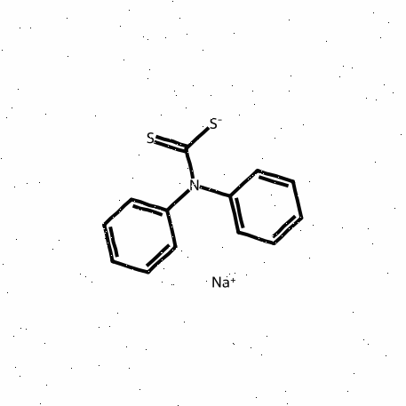 S=C([S-])N(c1ccccc1)c1ccccc1.[Na+]